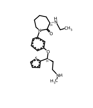 CCN[C@H]1CCCCN(c2cccc(O[C@@H](CCNC)c3cccs3)c2)C1=O